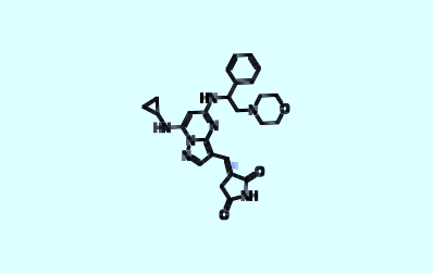 O=C1C/C(=C\c2cnn3c(NC4CC4)cc(NC(CN4CCOCC4)c4ccccc4)nc23)C(=O)N1